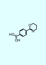 OB(O)c1ccc(C2=NCCCO2)cc1